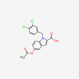 CC(=O)Oc1ccc2c(c1)cc(C(=O)O)n2Cc1ccc(Cl)c(Cl)c1